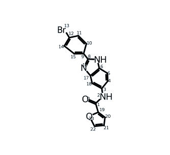 O=C(Nc1ccc2[nH]c(-c3ccc(Br)cc3)nc2c1)c1ccco1